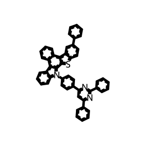 c1ccc(-c2ccc3sc4c(c3c2)c2ccccc2c2c3ccccc3n(-c3ccc(-c5cc(-c6ccccc6)nc(-c6ccccc6)n5)cc3)c42)cc1